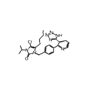 CCCCc1c(Cl)n(C(C)C)c(=O)n1Cc1ccc(-c2ncccc2-c2nnn[nH]2)cc1